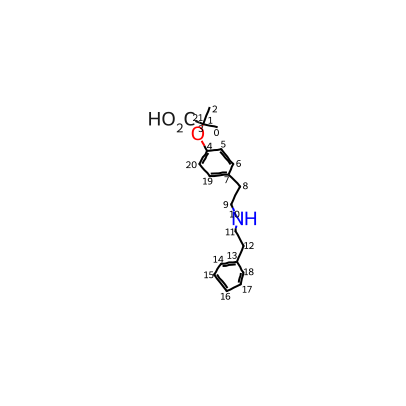 CC(C)(Oc1ccc(CCNCCc2ccccc2)cc1)C(=O)O